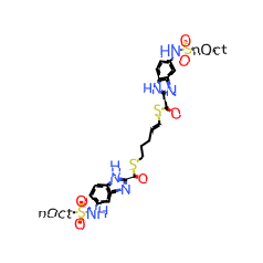 CCCCCCCCS(=O)(=O)Nc1ccc2[nH]c(C(=O)SCCCCCSC(=O)c3nc4cc(NS(=O)(=O)CCCCCCCC)ccc4[nH]3)nc2c1